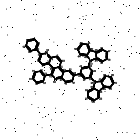 c1ccc(-c2ccc3c(ccc4c5cc(-c6cc(-n7c8ccccc8c8ccccc87)cc(-n7c8ccccc8c8ccccc87)c6)ccc5nc(-c5ccccc5)c34)n2)cc1